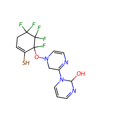 OC1N=CC=CN1C1=NC=CN(OC2(F)C(S)=CCC(F)(F)C2(F)F)C1